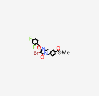 COC(=O)c1ccc(Cn2c(C)nc(OCc3ccc(F)cc3F)c(Br)c2=O)cc1